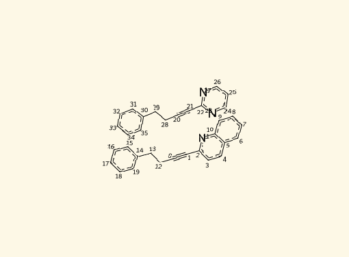 C(#Cc1ccc2ccccc2n1)CCc1ccccc1.C(#Cc1ncccn1)CCc1ccccc1